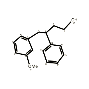 COc1cccc(CC(CCO)c2ccccc2)c1